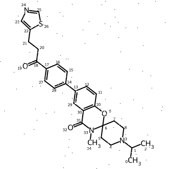 CC(C)N1CCC2(CC1)Oc1ccc(-c3ccc(C(=O)CCc4cncs4)cc3)cc1C(=O)N2C